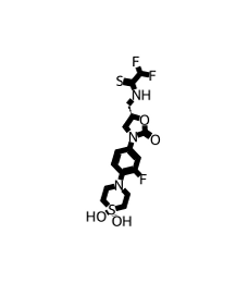 O=C1O[C@@H](CNC(=S)C(F)F)CN1c1ccc(N2CCS(O)(O)CC2)c(F)c1